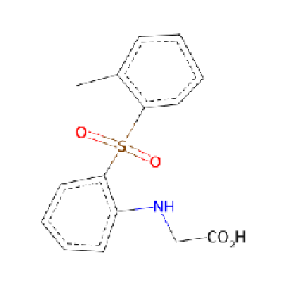 Cc1ccccc1S(=O)(=O)c1ccccc1NCC(=O)O